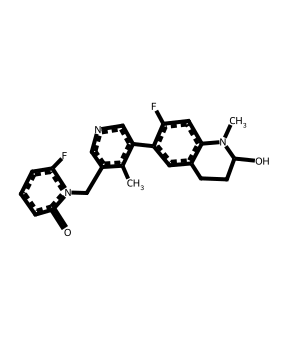 Cc1c(Cn2c(F)cccc2=O)cncc1-c1cc2c(cc1F)N(C)C(O)CC2